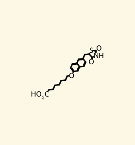 O=C(O)CCCCCCCOc1ccc2cc(CC3SC(=O)NC3=O)ccc2c1